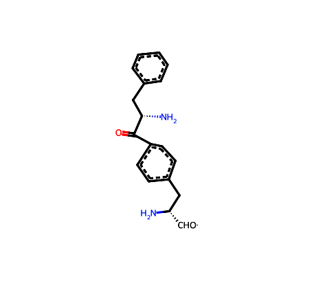 N[C@@H]([C]=O)Cc1ccc(C(=O)[C@@H](N)Cc2ccccc2)cc1